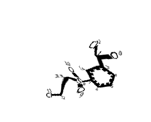 O=C(Cl)c1cccc(S(=O)(=O)CCCl)c1